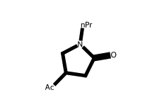 CCCN1CC(C(C)=O)CC1=O